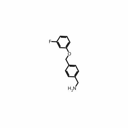 NCc1ccc(COc2cccc(F)c2)cc1